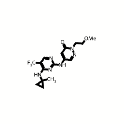 COCCn1ncc(Nc2ncc(C(F)(F)F)c(NC3(C)CC3)n2)cc1=O